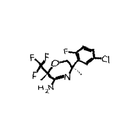 C[C@@]1(c2cc(Cl)ccc2F)CO[C@@](C)(C(F)(F)F)C(N)=N1